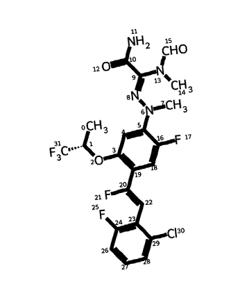 C[C@H](Oc1cc(N(C)/N=C(/C(N)=O)N(C)C=O)c(F)cc1/C(F)=C/c1c(F)cccc1Cl)C(F)(F)F